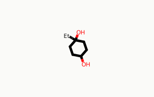 CCC1(O)CCC(O)CC1